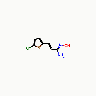 NC(C=Cc1ccc(Cl)s1)=NO